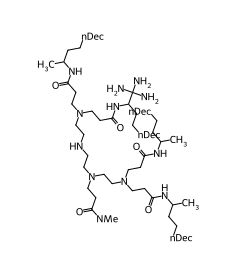 CCCCCCCCCCCCC(C)NC(=O)CCN(CCNCCN(CCC(=O)NC)CCN(CCC(=O)NC(C)CCCCCCCCCCCC)CCC(=O)NC(C)CCCCCCCCCCCC)CCC(=O)NC(CCCCCCCCCCCC)C(N)(N)N